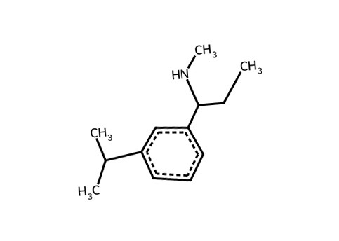 CCC(NC)c1cccc(C(C)C)c1